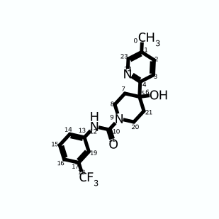 Cc1ccc(C2(O)CCN(C(=O)Nc3cccc(C(F)(F)F)c3)CC2)nc1